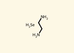 NCCN.[SeH2]